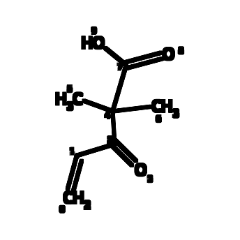 C=CC(=O)C(C)(C)C(=O)O